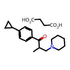 CC(CN1CCCCC1)C(=O)c1ccc(C2CC2)cc1.O=C(O)CCC(=O)O